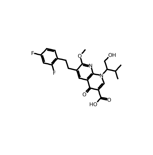 COc1nc2c(cc1CCc1ccc(F)cc1F)c(=O)c(C(=O)O)cn2C(CO)C(C)C